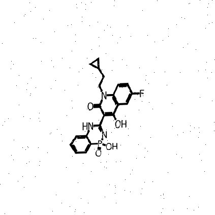 O=c1c(C2=NP(=O)(O)c3ccccc3N2)c(O)c2cc(F)ccc2n1CCC1CC1